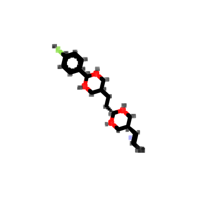 CC/C=C/[C@H]1CO[C@H](CCC2COC(c3ccc(F)cc3)OC2)OC1